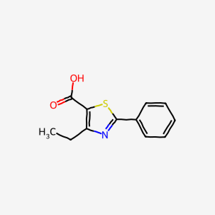 CCc1nc(-c2ccccc2)sc1C(=O)O